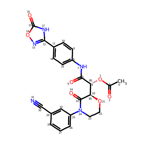 CC(=O)O[C@@H](C(=O)Nc1ccc(-c2noc(=O)[nH]2)cc1)[C@H]1OCCN(c2cccc(C#N)c2)C1=O